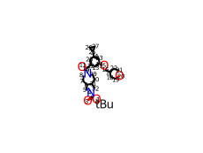 CC(C)(C)OC(=O)N1CC2CCN(C(=O)c3cc(OCC4CCOCC4)cc(C4CC4)c3)CCC2C1